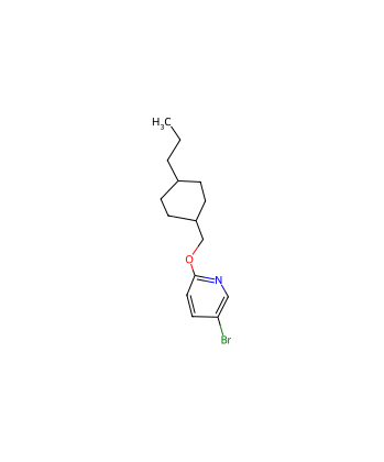 CCCC1CCC(COc2ccc(Br)cn2)CC1